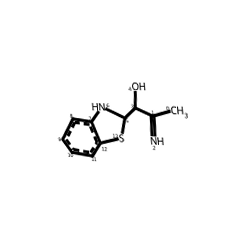 CC(=N)C(O)C1Nc2ccccc2S1